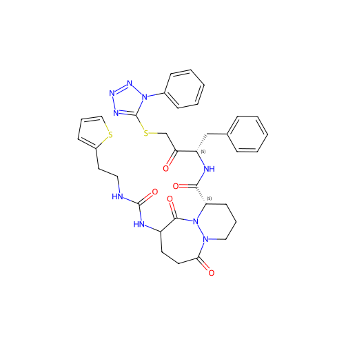 O=C(NCCc1cccs1)NC1CCC(=O)N2CCC[C@@H](C(=O)N[C@@H](Cc3ccccc3)C(=O)CSc3nnnn3-c3ccccc3)N2C1=O